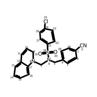 N#Cc1ccc(CN(CN2CC=Cc3ccccc32)S(=O)(=O)c2ccc(Cl)cc2)cc1